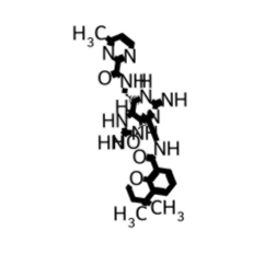 Cc1ccnc(C(=O)NC[C@@H]2NC(=N)N3CC(NC(=O)c4cccc5c4OCCC5(C)C)[C@@H](O)[C@@]34NC(=N)N[C@@H]24)n1